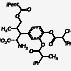 CCCC(C)C(=O)OCC(C)C(c1ccc(OC(=O)C(C)C(C)C)c(OC(=O)C(C)C(C)C)c1)[C@H](N)C(=O)O